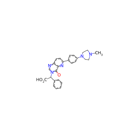 CN1CCN(c2ccc(-c3ccc4ncn(C(C(=O)O)c5ccccc5)c(=O)c4n3)cc2)CC1